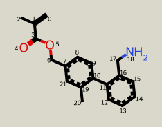 C=C(C)C(=O)OCc1ccc(-c2ccccc2CN)c(C)c1